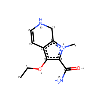 CCOc1c2c(n(C)c1C(N)=O)CNC=C2